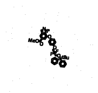 COC(=O)c1cc(Oc2ccc(OCC(F)(F)CO[Si](c3ccccc3)(c3ccccc3)C(C)(C)C)cc2)c2c(cnn2C)c1